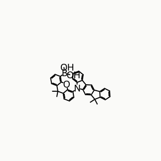 CC1(C)c2ccccc2-c2cc3c4ccccc4n(-c4cccc5c4Oc4c(B(O)O)cccc4C5(C)C)c3cc21